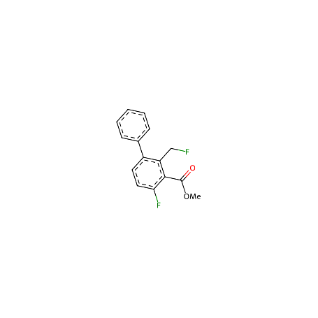 COC(=O)c1c(F)ccc(-c2ccccc2)c1CF